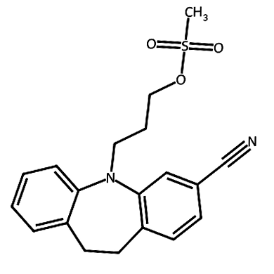 CS(=O)(=O)OCCCN1c2ccccc2CCc2ccc(C#N)cc21